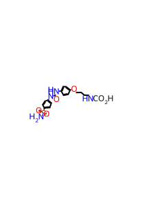 NS(=O)(=O)c1ccc(NC(=O)Nc2ccc(OCCCCNC(=O)O)cc2)cc1